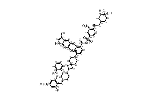 COc1cc(F)c(CN2CCN(C3CC4(CCN(c5ccc(C(=O)NS(=O)(=O)c6cnc(NCC7CCC(C)(O)CC7)c([N+](=O)[O-])c6)c(Oc6cc7c(F)c[nH]c7nc6OC)c5)CC4)C3)[C@H](c3ccccc3C(C)C)C2)c(F)c1